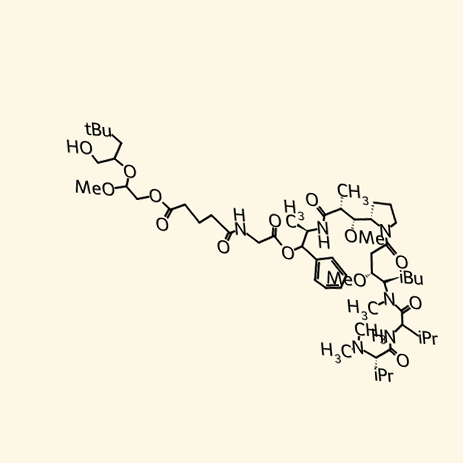 CC[C@H](C)C([C@@H](CC(=O)N1CCC[C@H]1[C@H](OC)[C@@H](C)C(=O)N[C@H](C)C(OC(=O)CNC(=O)CCCC(=O)OCC(OC)OC(CO)CC(C)(C)C)c1ccccc1)OC)N(C)C(=O)C(NC(=O)[C@H](C(C)C)N(C)C)C(C)C